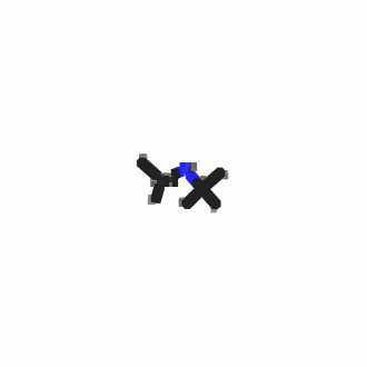 C[SiH](C)[N]C(C)(C)C